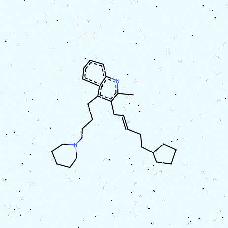 Cc1nc2ccccc2c(CCCCN2CCCCC2)c1C/C=C/CCC1CCCC1